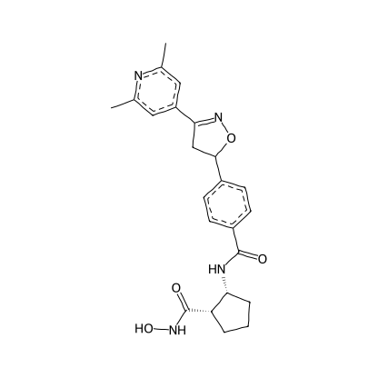 Cc1cc(C2=NOC(c3ccc(C(=O)N[C@@H]4CCC[C@@H]4C(=O)NO)cc3)C2)cc(C)n1